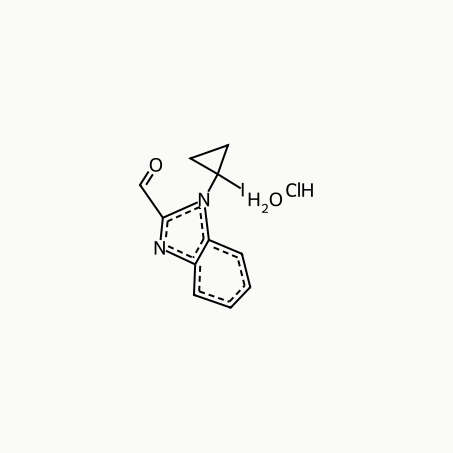 Cl.O.O=Cc1nc2ccccc2n1C1(I)CC1